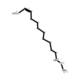 CCCCCCCC/C=C\CCCCCCCCNON